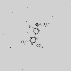 CCOC(=O)Nc1ccc(-c2nc(C(Cl)(Cl)Cl)nc(C(Cl)(Cl)Cl)n2)cc1Br